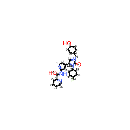 O=c1n(Cc2ccc(O)cc2)cc(-c2ccnc(N[C@@H](O)c3ccccn3)c2)n1-c1ccc(F)cc1